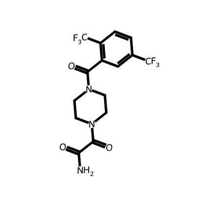 NC(=O)C(=O)N1CCN(C(=O)c2cc(C(F)(F)F)ccc2C(F)(F)F)CC1